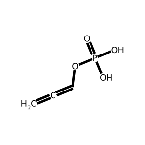 C=C=COP(=O)(O)O